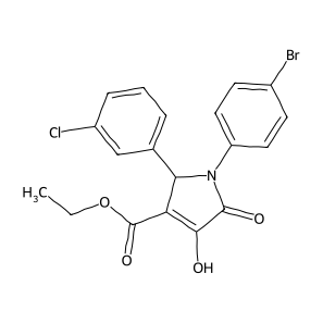 CCOC(=O)C1=C(O)C(=O)N(c2ccc(Br)cc2)C1c1cccc(Cl)c1